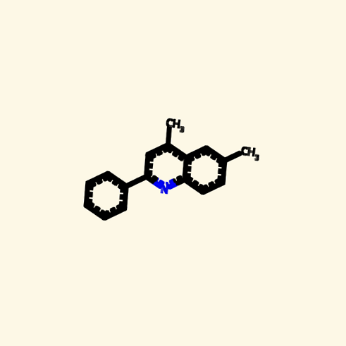 Cc1ccc2nc(-c3ccccc3)cc(C)c2c1